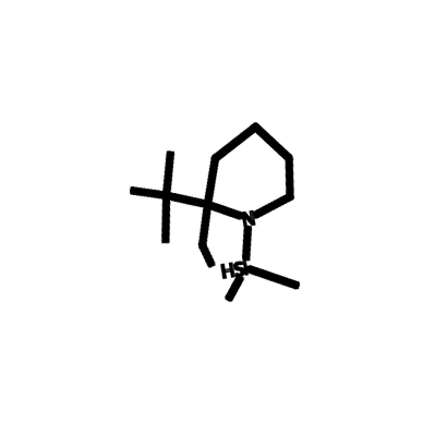 CCC1(C(C)(C)C)CCCCN1[SiH](C)C